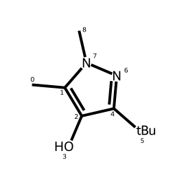 Cc1c(O)c(C(C)(C)C)nn1C